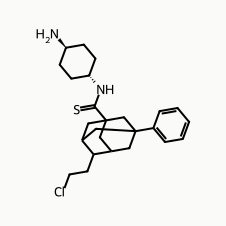 N[C@H]1CC[C@H](NC(=S)C23CC4CC(c5ccccc5)(CC(C2)C4CCCl)C3)CC1